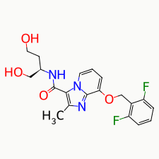 Cc1nc2c(OCc3c(F)cccc3F)cccn2c1C(=O)N[C@@H](CO)CCO